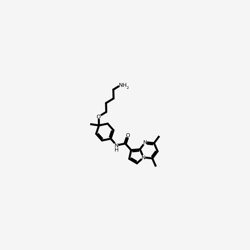 Cc1cc(C)n2ccc(C(=O)NC3=CCC(C)(OCCCCN)C=C3)c2n1